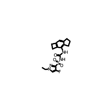 CCn1cc(F)c(S(=O)(=O)NC(=O)Nc2c3c(cc4c2CC4)CCC3)n1